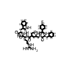 CC(C)C/C(=C\[C@@H](O)CNC(=O)[C@H](Cc1ccccc1)NC(=O)c1ccc(F)cc1)C(=O)N[C@@H](CCCNC(=N)N)C(=O)N[C@@H](Cc1c[nH]c2ccccc12)C(N)=O